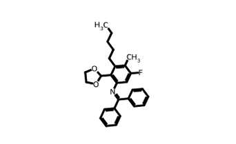 CCCCCc1c(C)c(F)cc(N=C(c2ccccc2)c2ccccc2)c1C1OCCO1